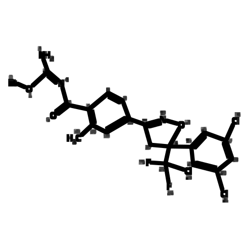 CCO/C(N)=N\C(=O)c1ccc(C2=NOC(c3cc(Cl)cc(Cl)c3)(C(F)(F)Cl)C2)cc1C